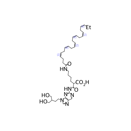 CC/C=C\C/C=C\C/C=C\C/C=C\C/C=C\C/C=C\CCC(=O)NCCCCC(C(=O)O)C(=O)Nc1ncc2ncn(CCC(CO)CO)c2n1